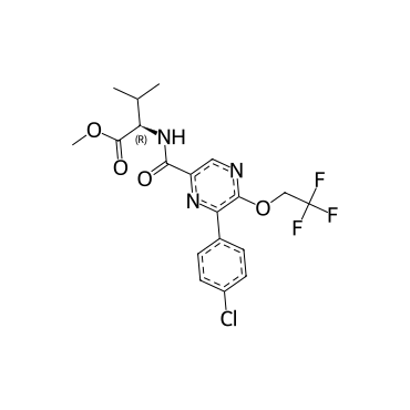 COC(=O)[C@H](NC(=O)c1cnc(OCC(F)(F)F)c(-c2ccc(Cl)cc2)n1)C(C)C